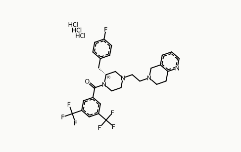 Cl.Cl.Cl.O=C(c1cc(C(F)(F)F)cc(C(F)(F)F)c1)N1CCN(CCN2CCc3ncccc3C2)C[C@H]1Cc1ccc(F)cc1